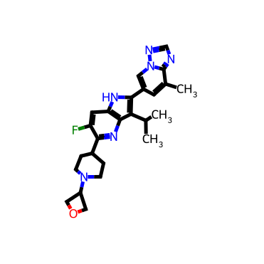 Cc1cc(-c2[nH]c3cc(F)c(C4CCN(C5COC5)CC4)nc3c2C(C)C)cn2ncnc12